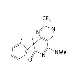 CNC1=NC(=O)C2(CCc3ccccc32)c2nc(C(F)(F)F)ncc21